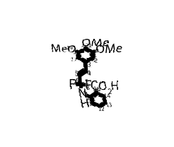 COc1cc(/C=C/C(F)(F)Nc2ccccc2C(=O)O)cc(OC)c1OC